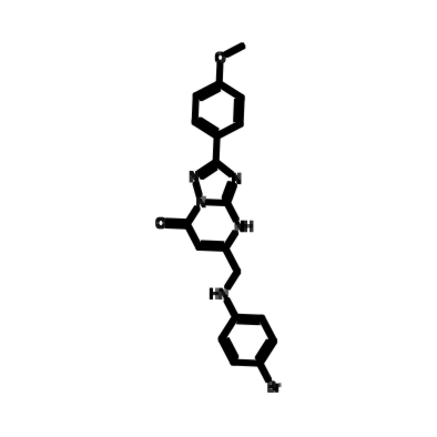 COc1ccc(-c2nc3[nH]c(CNc4ccc(Br)cc4)cc(=O)n3n2)cc1